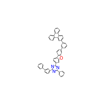 c1ccc(-c2cccc(-c3nc(-c4ccccc4)nc(-c4ccc5c(c4)oc4cc(-c6cccc(-c7ccc8c9ccccc9c9ccccc9c8c7)c6)ccc45)n3)c2)cc1